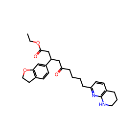 CCOC(=O)CC(CC(=O)CCCCc1ccc2c(n1)NCCC2)c1ccc2c(c1)OCC2